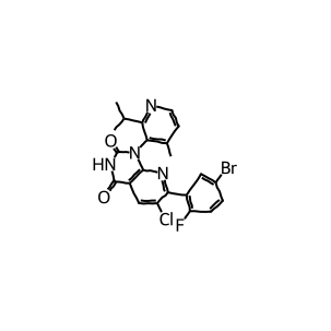 Cc1ccnc(C(C)C)c1-n1c(=O)[nH]c(=O)c2cc(Cl)c(-c3cc(Br)ccc3F)nc21